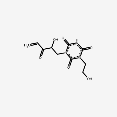 C=CC(=O)C(O)Cn1c(=O)[nH]c(=O)n(CCO)c1=O